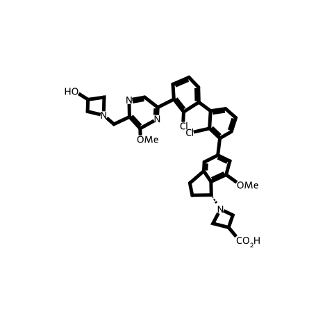 COc1cc(-c2cccc(-c3cccc(-c4cnc(CN5CC(O)C5)c(OC)n4)c3Cl)c2Cl)cc2c1[C@H](N1CC(C(=O)O)C1)CC2